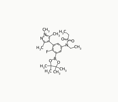 CCN(c1cc(B2OC(C)(C)C(C)(C)O2)c(F)c(-c2c(C)nn(C)c2C)c1)S(=O)(=O)CC